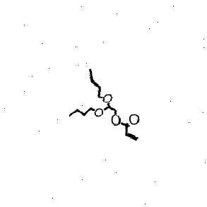 C=CC(=O)OCC(OCCCC)OCCCC